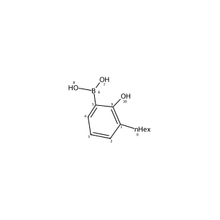 CCCCCCc1cccc(B(O)O)c1O